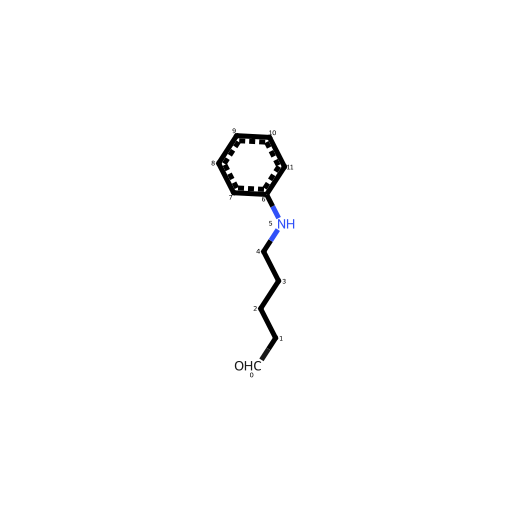 O=CCCCCNc1ccccc1